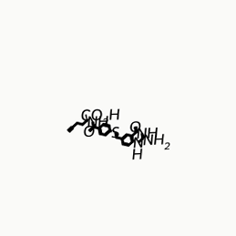 C#CCC[C@H](NC(=O)c1ccc(SCc2ccc3c(c2)C(=O)NC(N)N3)cc1)C(=O)O